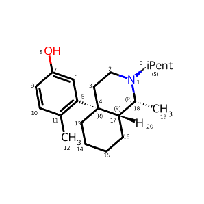 CCC[C@H](C)N1CC[C@]2(c3cc(O)ccc3C)CCCC[C@H]2[C@H]1C